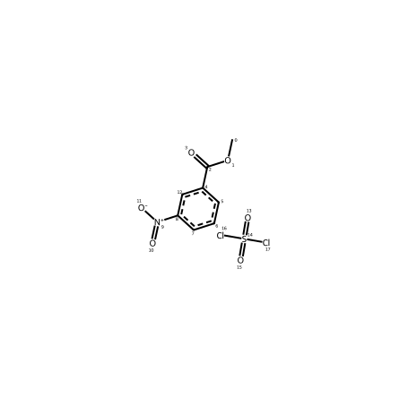 COC(=O)c1cccc([N+](=O)[O-])c1.O=S(=O)(Cl)Cl